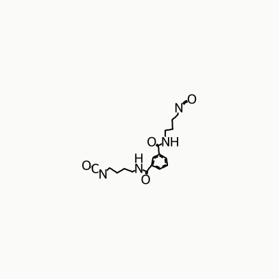 O=C=NCCCCNC(=O)c1cccc(C(=O)NCCCCN=C=O)c1